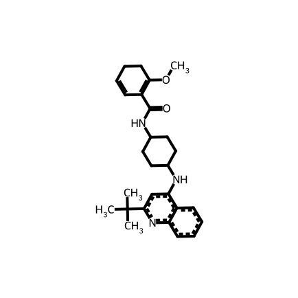 COC1=C(C(=O)NC2CCC(Nc3cc(C(C)(C)C)nc4ccccc34)CC2)C=CCC1